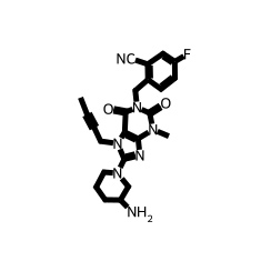 CC#CCn1c(N2CCCC(N)C2)nc2c1c(=O)n(Cc1ccc(F)cc1C#N)c(=O)n2C